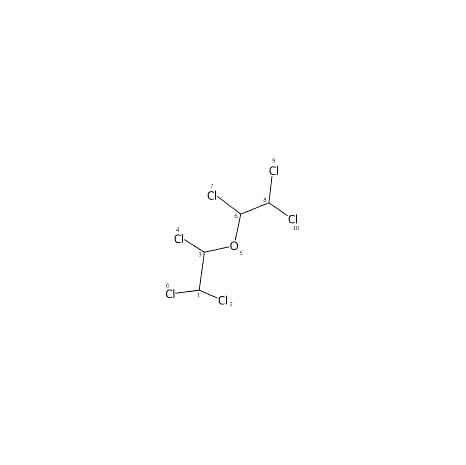 ClC(Cl)C(Cl)OC(Cl)C(Cl)Cl